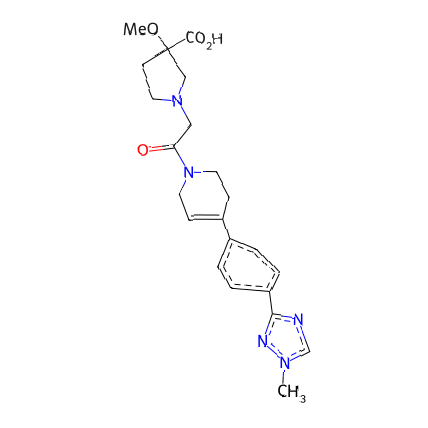 COC1(C(=O)O)CCN(CC(=O)N2CC=C(c3ccc(-c4ncn(C)n4)cc3)CC2)C1